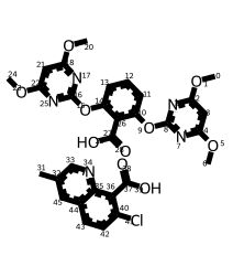 COc1cc(OC)nc(Oc2cccc(Oc3nc(OC)cc(OC)n3)c2C(=O)O)n1.Cc1cnc2c(C(=O)O)c(Cl)ccc2c1